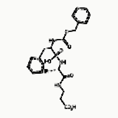 CC(C)[C@H](NP(=O)(O)C(Cc1ccccc1)NC(=O)OCc1ccccc1)C(=O)NCCC(=O)O